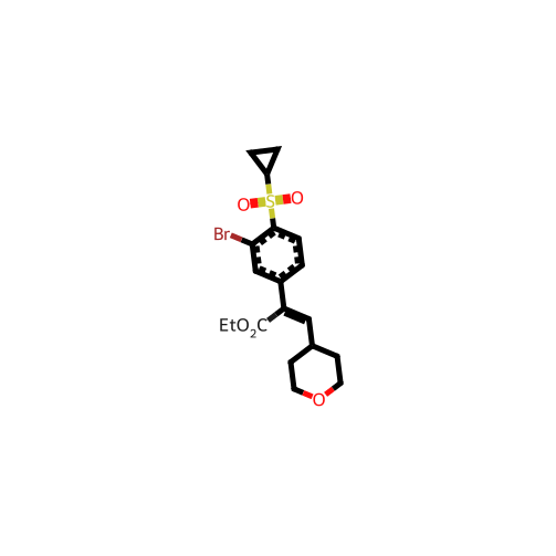 CCOC(=O)/C(=C\C1CCOCC1)c1ccc(S(=O)(=O)C2CC2)c(Br)c1